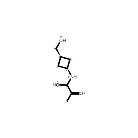 CC(=O)C(O)N[C@H]1C[C@@H](CO)C1